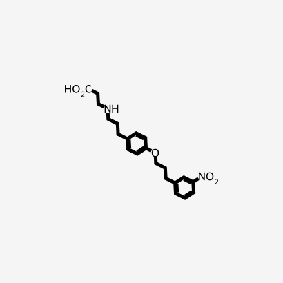 O=C(O)CCNCCCc1ccc(OCCCc2cccc([N+](=O)[O-])c2)cc1